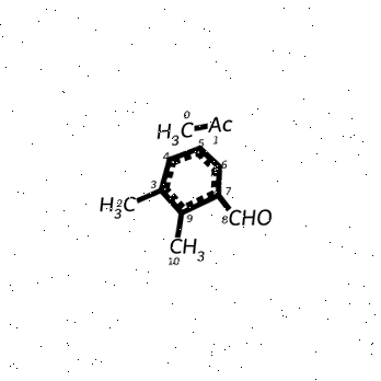 CC(C)=O.Cc1cccc(C=O)c1C